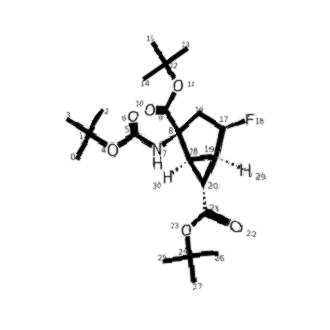 CC(C)(C)OC(=O)N[C@@]1(C(=O)OC(C)(C)C)C[C@@H](F)[C@H]2[C@H](C(=O)OC(C)(C)C)[C@H]21